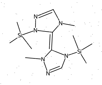 CN1C=NN([Si](C)(C)C)/C1=C1\N(C)N=CN1[Si](C)(C)C